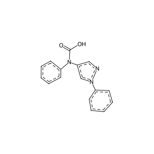 O=C(O)N(c1ccccc1)c1cnn(-c2ccccc2)c1